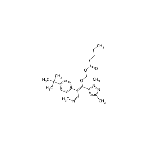 CCCCC(=O)OCO/C(=C(/C=N\C)c1ccc(C(C)(C)C)cc1)c1cc(C)nn1C